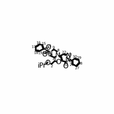 CC(C)OCCOc1c(N2CCN(S(=O)(=O)c3ccccc3)CC2)cnn(-c2ccccc2)c1=O